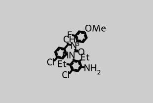 CCc1c(N)cc(Cl)c(CC)c1NC(=O)N(c1ccc(OC)cc1F)C(C)c1ccc(Cl)cc1